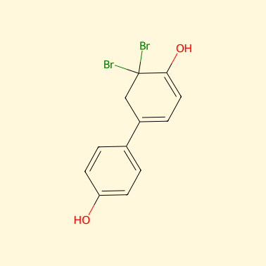 OC1=CC=C(c2ccc(O)cc2)CC1(Br)Br